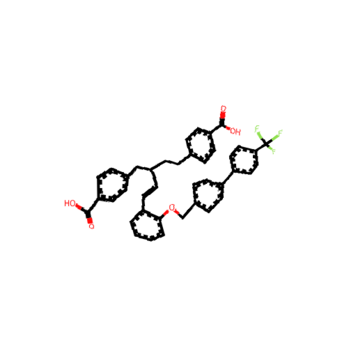 O=C(O)c1ccc(CCC(C=Cc2ccccc2OCc2ccc(-c3ccc(C(F)(F)F)cc3)cc2)Cc2ccc(C(=O)O)cc2)cc1